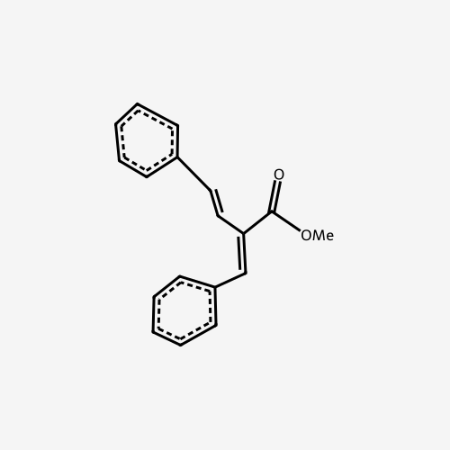 COC(=O)C(/C=C/c1ccccc1)=C/c1ccccc1